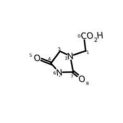 O=C(O)CN1CC(=O)[N]C1=O